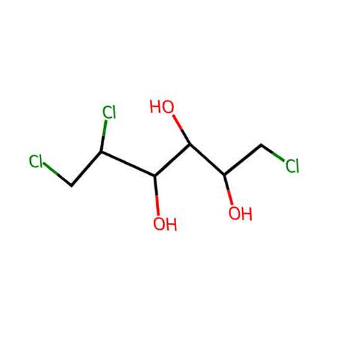 OC(CCl)C(O)C(O)C(Cl)CCl